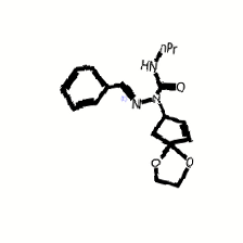 CCCNC(=O)N(/N=C/c1ccccc1)C1C=CC2(C1)OCCO2